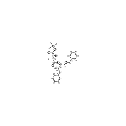 C[C@H](NC(=O)OC(C)(C)C)C(=O)O[C@H](COCc1ccccc1)[C@H](C)Oc1ccccc1